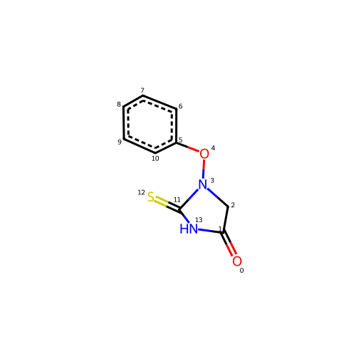 O=C1CN(Oc2ccccc2)C(=S)N1